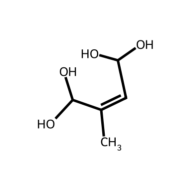 CC(=CC(O)O)C(O)O